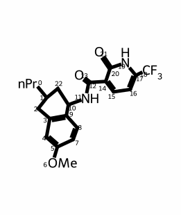 CCCC1Cc2cc(OC)ccc2C(NC(=O)c2ccc(C(F)(F)F)[nH]c2=O)C1